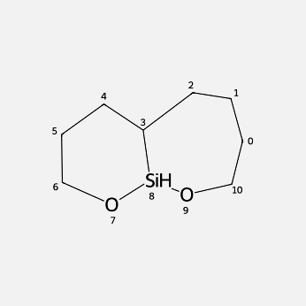 C1CCC2CCCO[SiH]2OC1